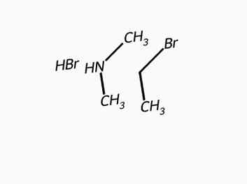 Br.CCBr.CNC